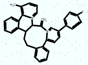 C=C1C2C(CCc3ccccc3-c3ccc(-c4ccc(F)cc4)c[n+]31)c1ccccc1-c1c(C)ccc[n+]12